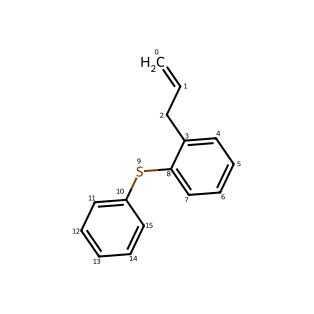 C=CCc1ccccc1Sc1ccccc1